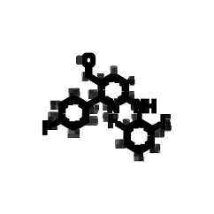 O=Cc1ccc(Nc2c(F)cccc2F)nc1-c1ccc(F)cc1